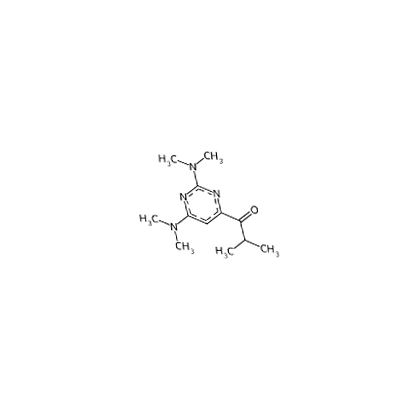 CC(C)C(=O)c1cc(N(C)C)nc(N(C)C)n1